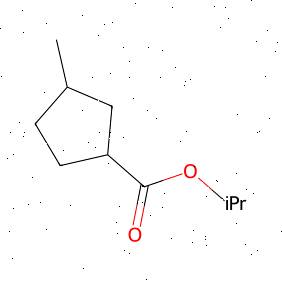 CC1CCC(C(=O)OC(C)C)C1